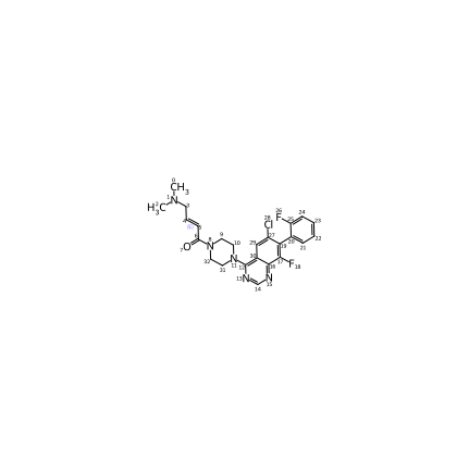 CN(C)C/C=C/C(=O)N1CCN(c2ncnc3c(F)c(-c4ccccc4F)c(Cl)cc23)CC1